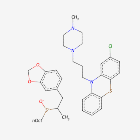 CCCCCCCC[S+]([O-])C(C)Cc1ccc2c(c1)OCO2.CN1CCN(CCCN2c3ccccc3Sc3ccc(Cl)cc32)CC1